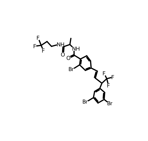 CC(NC(=O)c1ccc(/C=C/C(c2cc(Br)cc(Br)c2)C(F)(F)F)cc1Br)C(=O)NCCC(F)(F)F